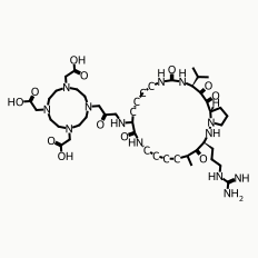 CC1CCCCNC(=O)C(NCC(=O)CN2CCN(CC(=O)O)CCN(CC(=O)O)CCN(CC(=O)O)CC2)CCCCNC(=O)N[C@@H](C(C)C)C(=O)C(=O)[C@@H]2CCCN2N[C@@H](CCCNC(=N)N)C1=O